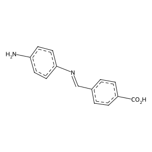 Nc1ccc(/N=C/c2ccc(C(=O)O)cc2)cc1